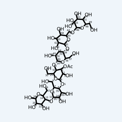 CC(=O)OC1C(O)C(O[C@@H]2C(CO)O[C@H](OC3C(CO)OC(O)C(O)C3O)[C@@H](O)C2O)OC(CO)C1O[C@H]1OC(CO)[C@@H](OC2OC(COC3OC(CO)C(O)C(O)C3(O)O)C(O)C(O)C2O)C[C@@H]1O